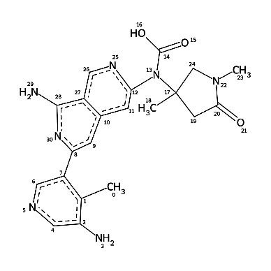 Cc1c(N)cncc1-c1cc2cc(N(C(=O)O)C3(C)CC(=O)N(C)C3)ncc2c(N)n1